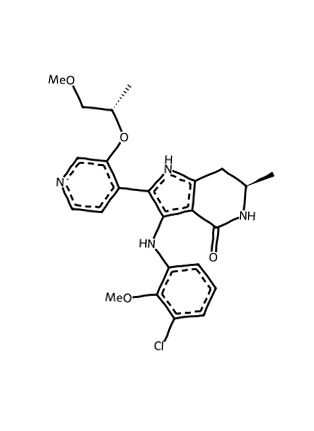 COC[C@H](C)Oc1cnccc1-c1[nH]c2c(c1Nc1cccc(Cl)c1OC)C(=O)N[C@H](C)C2